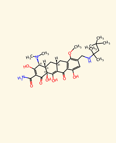 COc1c(CNC(C)(C)CC(C)(C)C)cc(O)c2c1C[C@H]1C[C@H]3[C@H](N(C)C)C(O)=C(C(N)=O)C(=O)[C@@]3(O)C(O)=C1C2=O